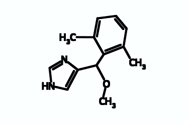 COC(c1c[nH]cn1)c1c(C)cccc1C